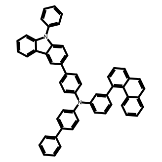 c1ccc(-c2ccc(N(c3ccc(-c4ccc5c(c4)c4ccccc4n5-c4ccccc4)cc3)c3cccc(-c4cccc5ccc6ccccc6c45)c3)cc2)cc1